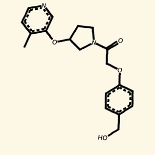 Cc1ccncc1OC1CCN(C(=O)COc2ccc(CO)cc2)C1